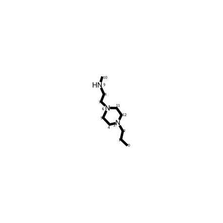 CCCN1CCN(CCNC)CC1